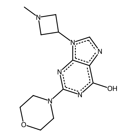 CN1CC(n2cnc3c(O)nc(N4CCOCC4)nc32)C1